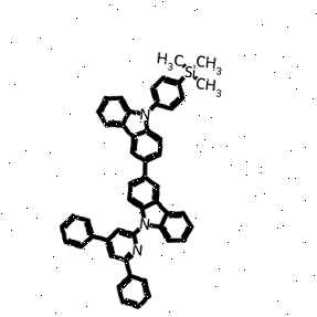 C[Si](C)(C)c1ccc(-n2c3ccccc3c3cc(-c4ccc5c(c4)c4ccccc4n5-c4cc(-c5ccccc5)cc(-c5ccccc5)n4)ccc32)cc1